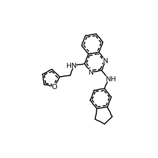 c1coc(CNc2nc(Nc3ccc4c(c3)CCC4)nc3ccccc23)c1